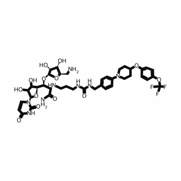 NC[C@H]1O[C@@H](O[C@@H]([C@H](NCCCNC(=O)NCc2ccc(N3CCC(Oc4ccc(OC(F)(F)F)cc4)CC3)cc2)C(N)=O)[C@H]2O[C@@H](n3ccc(=O)[nH]c3=O)C(O)C2O)[C@H](O)[C@@H]1O